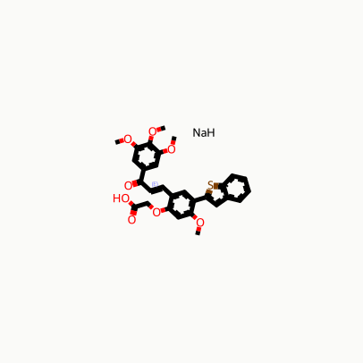 COc1cc(OCC(=O)O)c(/C=C/C(=O)c2cc(OC)c(OC)c(OC)c2)cc1-c1cc2ccccc2s1.[NaH]